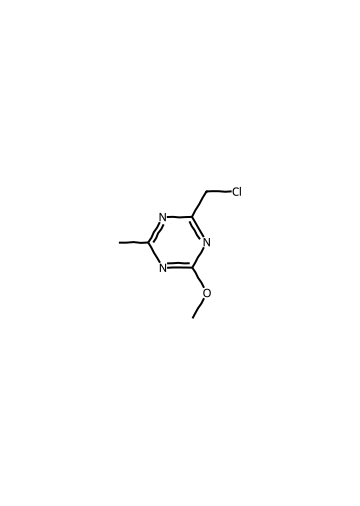 COc1nc(C)nc(CCl)n1